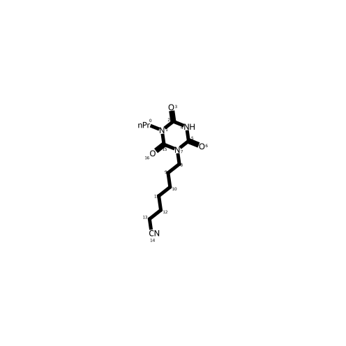 CCCn1c(=O)[nH]c(=O)n(CCCCCCC#N)c1=O